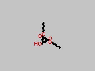 CCCCCCOC(=O)c1cc(CO)cc(C(=O)OCCCCCC)c1